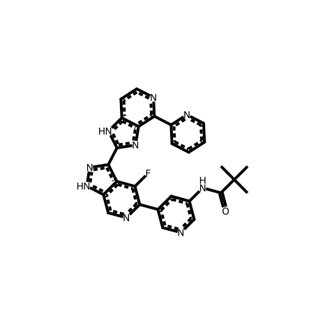 CC(C)(C)C(=O)Nc1cncc(-c2ncc3[nH]nc(-c4nc5c(-c6ccccn6)nccc5[nH]4)c3c2F)c1